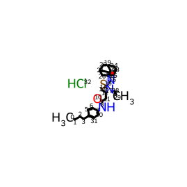 CCCCc1ccc(NC(=O)CC2CS/C(=N\C34CC5CC(CC(C5)C3)C4)N2CC)cc1.Cl